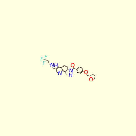 Cc1c(NC(=O)c2ccc(OC[C@H]3CCCO3)cc2)ccc2cc(CNCCC(F)(F)F)cnc12